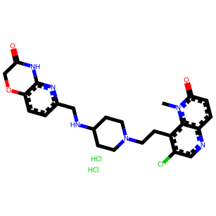 Cl.Cl.Cn1c(=O)ccc2ncc(Cl)c(CCN3CCC(NCc4ccc5c(n4)NC(=O)CO5)CC3)c21